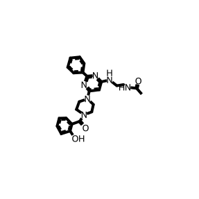 CC(=O)NCCNc1cc(N2CCN(C(=O)c3ccccc3O)CC2)nc(-c2ccccc2)n1